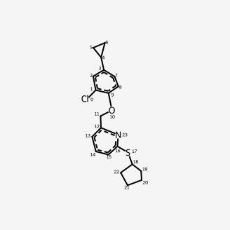 Clc1cc(C2CC2)ccc1OCc1cccc(SC2CCCC2)n1